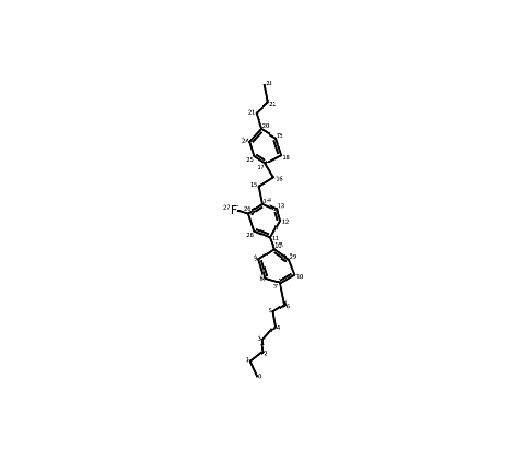 CCCCCCCc1ccc(-c2ccc(CCc3ccc(CCC)cc3)c(F)c2)cc1